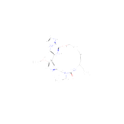 CCC1CCCCCOc2nc(cn3ccnc23)-c2cc(ncc2OC)[C@@H](C)N(CC)C(=O)N1